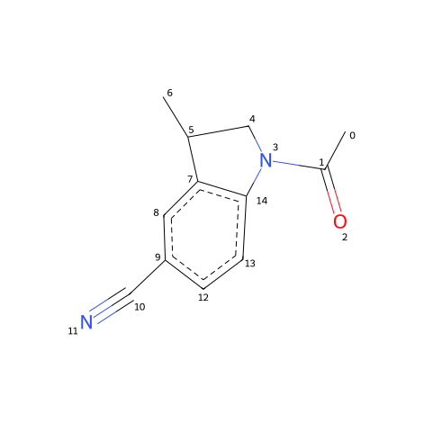 CC(=O)N1CC(C)c2cc(C#N)ccc21